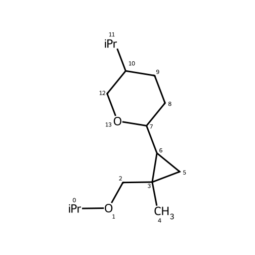 CC(C)OCC1(C)CC1C1CCC(C(C)C)CO1